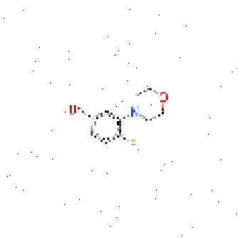 Fc1ccc(Br)cc1N1CCOCC1